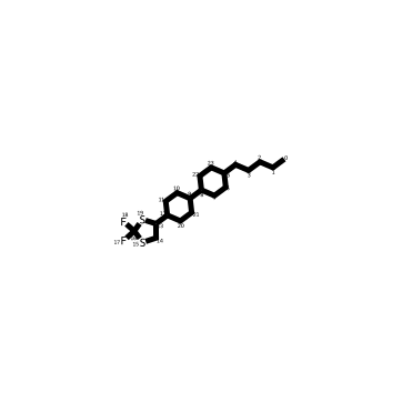 CCCCCC1CCC(C2CCC(C3CSC(F)(F)S3)CC2)CC1